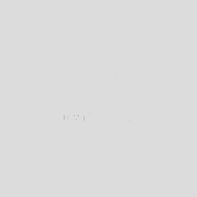 Fc1cc(Cl)cc(Br)c1.[MgH2]